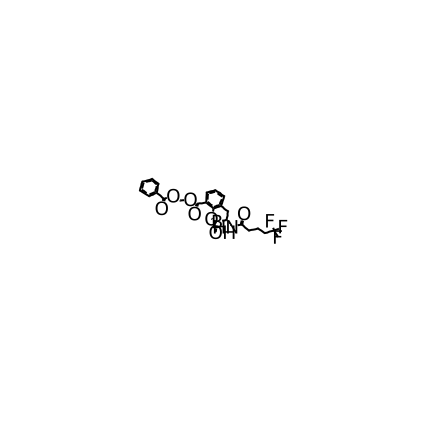 O=C(CCCC(F)(F)F)N[C@H]1Cc2cccc(C(=O)OCOC(=O)c3ccccc3)c2OB1O